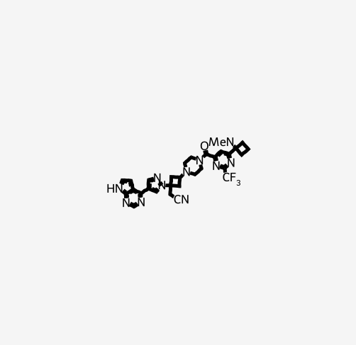 CNC1(c2cc(C(=O)N3CCN(C4CC(CC#N)(n5cc(-c6ncnc7[nH]ccc67)cn5)C4)CC3)nc(C(F)(F)F)n2)CCC1